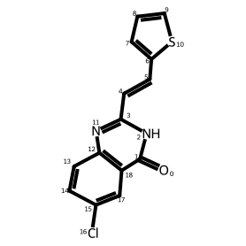 O=c1[nH]c(C=Cc2cccs2)nc2ccc(Cl)cc12